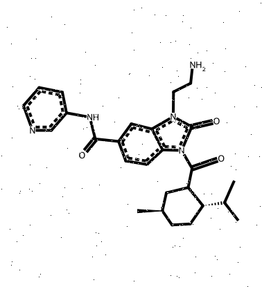 CC(C)[C@@H]1CC[C@@H](C)CC1C(=O)n1c(=O)n(CCN)c2cc(C(=O)Nc3cccnc3)ccc21